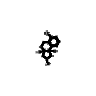 CC(C)N1C[C@@H]2OCc3c(cccc3C(F)(F)F)[C@@H]2C1